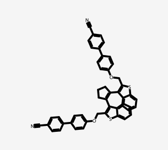 N#Cc1ccc(-c2ccc(OCc3sc4ccccc4c3C3=C(c4c(COc5ccc(-c6ccc(C#N)cc6)cc5)sc5ccccc45)CCC3)cc2)cc1